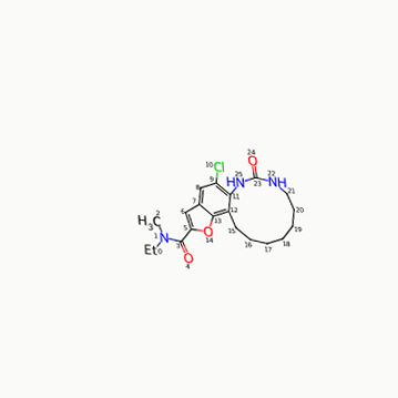 CCN(C)C(=O)c1cc2cc(Cl)c3c(c2o1)CCCCCCCNC(=O)N3